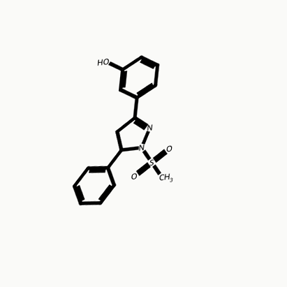 CS(=O)(=O)N1N=C(c2cccc(O)c2)CC1c1ccccc1